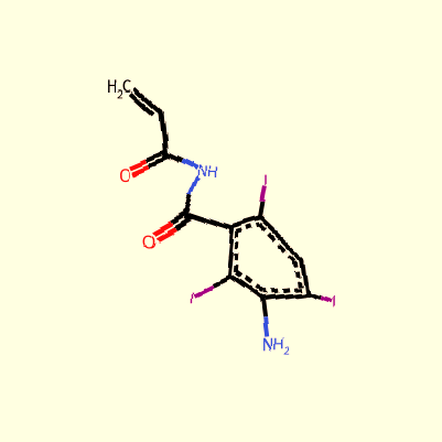 C=CC(=O)NC(=O)c1c(I)cc(I)c(N)c1I